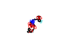 Cc1nc2cc(C=CCc3ccc(F)cc3B3OC(C)(C)C(C)(C)O3)nn2c(N2CCC(C)(OCCCC[C@@H](C)O[Si](c3ccccc3)(c3ccccc3)C(C)(C)C)CC2)c1C(OC(C)(C)C)C(=O)O